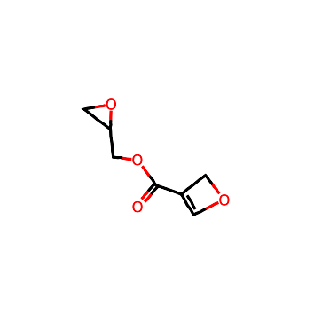 O=C(OCC1CO1)C1=COC1